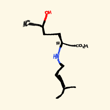 CC(C)=CCN[C@@H](CCC(O)C#N)C(=O)O